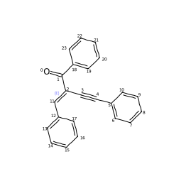 O=C(/C(C#Cc1ccccc1)=C/c1ccccc1)c1ccccc1